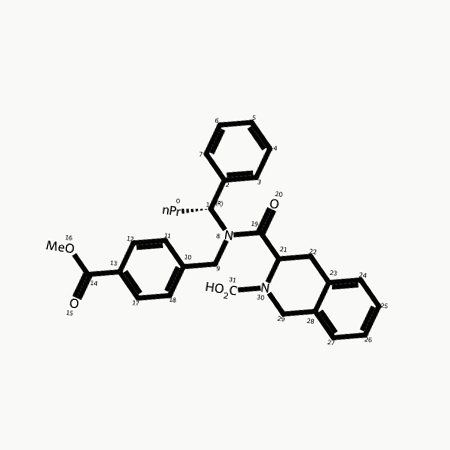 CCC[C@H](c1ccccc1)N(Cc1ccc(C(=O)OC)cc1)C(=O)C1Cc2ccccc2CN1C(=O)O